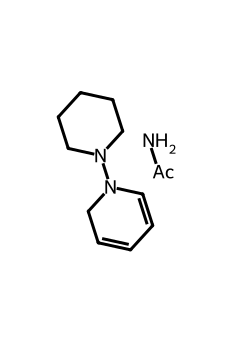 C1=CCN(N2CCCCC2)C=C1.CC(N)=O